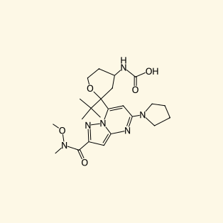 CON(C)C(=O)c1cc2nc(N3CCCC3)cc(C3(C(C)(C)C)CC(NC(=O)O)CCO3)n2n1